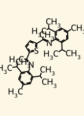 CC(=Nc1c(C(C)C)cc(C)cc1C(C)C)c1ccc(C(C)=Nc2c(C(C)C)cc(C)cc2C(C)C)s1